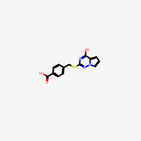 O=C(O)c1ccc(CSc2nc(O)c3cccn3n2)cc1